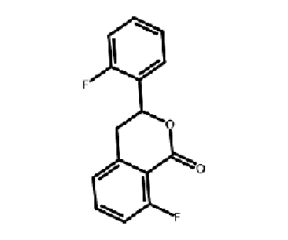 O=C1OC(c2ccccc2F)Cc2cccc(F)c21